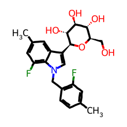 Cc1ccc(Cn2cc([C@@H]3O[C@H](CO)[C@@H](O)[C@H](O)[C@H]3O)c3cc(C)cc(F)c32)c(F)c1